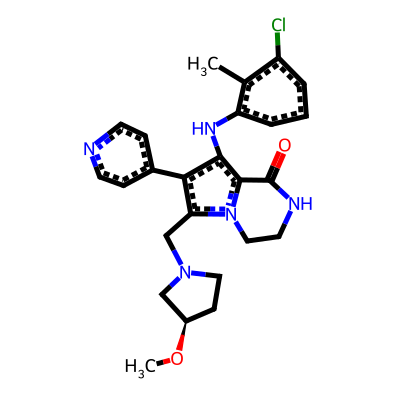 CO[C@@H]1CCN(Cc2c(-c3ccncc3)c(Nc3cccc(Cl)c3C)c3n2CCNC3=O)C1